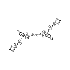 C=C1CSCC(OC(=O)CCC(=O)OCCCN2/C(=C(\C#N)C(=O)OCCOCCOCCOC(=O)/C(C#N)=C3\Sc4cc(Cl)ccc4N3CCCOC(=O)CCC(=O)OC3CSCC(=C)CSC3)Sc3cc(Cl)ccc32)CSC1